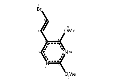 COc1ncc(C=CBr)c(OC)n1